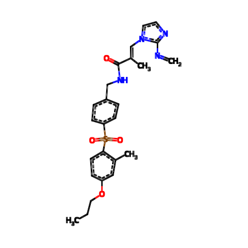 C=Nc1nccn1/C=C(\C)C(=O)NCc1ccc(S(=O)(=O)c2ccc(OCCC)cc2C)cc1